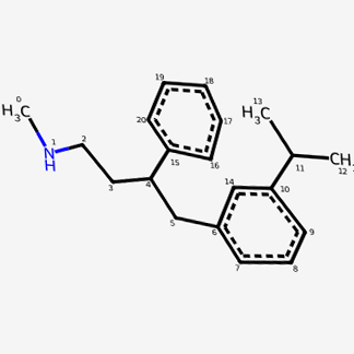 CNCCC(Cc1cccc(C(C)C)c1)c1ccccc1